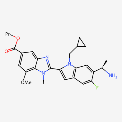 COc1cc(C(=O)OC(C)C)cc2nc(-c3cc4cc(F)c([C@@H](C)N)cc4n3CC3CC3)n(C)c12